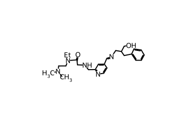 CCN(CCN(C)C)C(=O)CNCc1cc(C=NCC(CO)Cc2ccccc2)ccn1